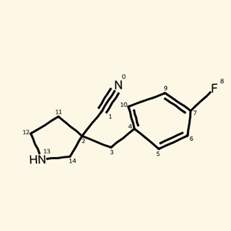 N#CC1(Cc2ccc(F)cc2)CCNC1